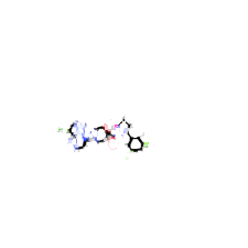 O=C1N2C(CCC2c2cc(F)cc(F)c2)OC12CCN(c1ccnc3c(F)cnn13)CC2